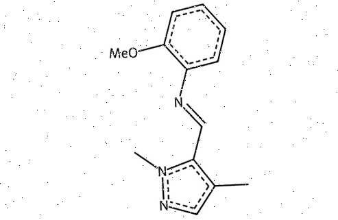 COc1ccccc1N=Cc1c(C)cnn1C